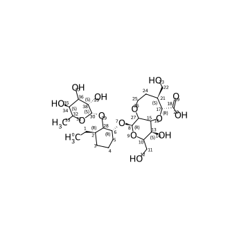 CC[C@@H]1CCC[C@@H](O[C@@H]2OC(CO)[C@H](O)C3O[C@@H](C(=O)O)[C@H](CO)CCOC32)C1O[C@@H]1OC(C)[C@@H](O)C(O)[C@@H]1O